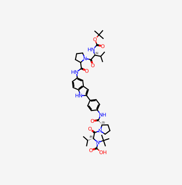 CC(C)[C@H](NC(=O)OC(C)(C)C)C(=O)N1CCCC1C(=O)Nc1ccc2[nH]c(-c3ccc(NC(=O)[C@@H]4CCCN4C(=O)[C@@H](C(C)C)N(C(=O)O)C(C)(C)C)cc3)cc2c1